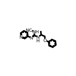 CC(COc1ccccc1)NC(=Nc1cccnc1)NC#N